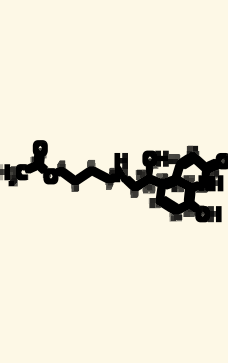 [CH2]C(=O)OCCCCNC[C@@H](O)c1ccc(O)c2[nH]c(=O)ccc12